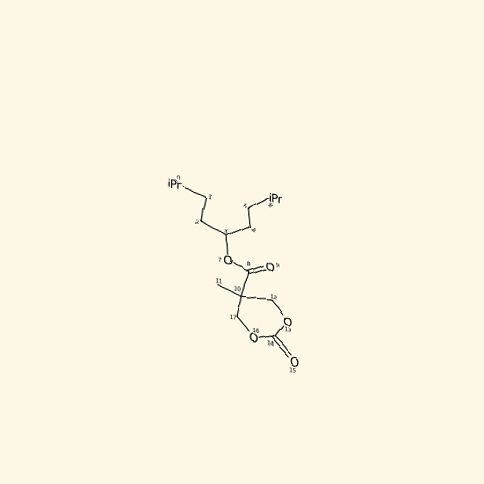 CC(C)CCC(CCC(C)C)OC(=O)C1(C)COC(=O)OC1